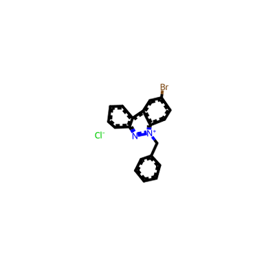 Brc1ccc2c(c1)c1ccccc1n[n+]2Cc1ccccc1.[Cl-]